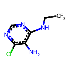 Nc1c(Cl)ncnc1NCC(F)(F)F